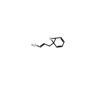 CC=CCC12C=CC=CC1O2